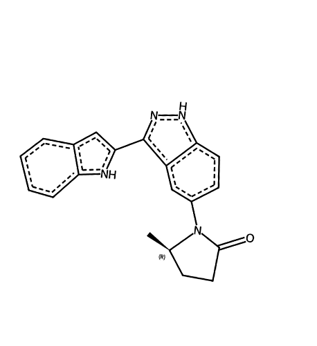 C[C@@H]1CCC(=O)N1c1ccc2[nH]nc(-c3cc4ccccc4[nH]3)c2c1